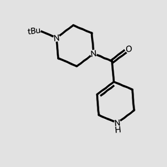 CC(C)(C)N1CCN(C(=O)C2=CCNCC2)CC1